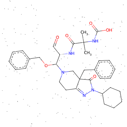 CC(C)(NC(=O)O)C(=O)N[C@@H](C=O)C(OCc1ccccc1)N1CCC2=NN(C3CCCCC3)C(=O)C2(Cc2ccccc2)C1